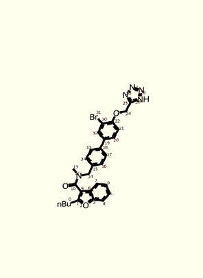 CCCCc1oc2ccccc2c1C(=O)N(C)Cc1ccc(-c2ccc(OCc3nnn[nH]3)c(Br)c2)cc1